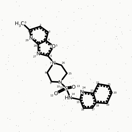 Cc1ccc2oc(N3CCN(S(=O)(=O)Nc4ccc5ccccc5n4)CC3)nc2n1